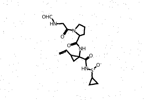 C=CC1CC1(NC(=O)C1CCCN1C(=O)CNC=O)C(=O)N[S+]([O-])C1CC1